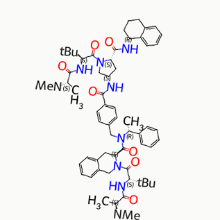 CN[C@@H](C)C(=O)N[C@H](C(=O)N1C[C@@H](NC(=O)c2ccc(CN(C(=O)[C@@H]3Cc4ccccc4CN3C(=O)[C@@H](NC(=O)[C@H](C)NC)C(C)(C)C)[C@H](C)c3ccccc3)cc2)C[C@H]1C(=O)N[C@@H]1CCCc2ccccc21)C(C)(C)C